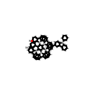 N#Cc1cc(C#N)cc(-c2c(-n3c4ccccc4c4ccccc43)c(-n3c4ccccc4c4ccccc43)c(-n3c4ccccc4c4cc(-c5ccc6c(c5)c5ccccc5n6-c5ccccc5)ccc43)c(-n3c4ccccc4c4ccccc43)c2-n2c3ccccc3c3ccccc32)c1